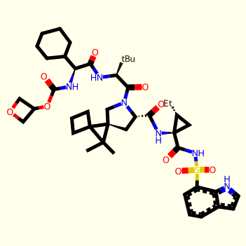 CC[C@@H]1C[C@]1(NC(=O)[C@@H]1C[C@@]2(CN1C(=O)[C@@H](NC(=O)[C@@H](NC(=O)OC1COC1)C1CCCCC1)C(C)(C)C)C(C)(C)C21CCC1)C(=O)NS(=O)(=O)c1cccc2cc[nH]c12